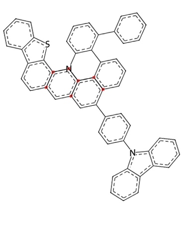 c1ccc(-c2ccccc2-c2c(-c3ccccc3)cccc2N(c2ccc(-c3ccc(-n4c5ccccc5c5ccccc54)cc3)cc2)c2cccc3c2sc2ccccc23)cc1